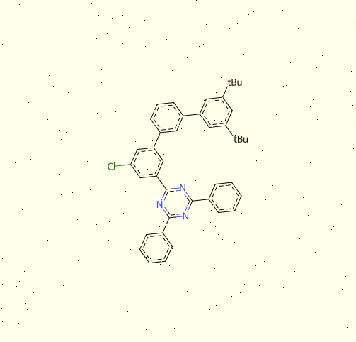 CC(C)(C)c1cc(-c2cccc(-c3cc(Cl)cc(-c4nc(-c5ccccc5)nc(-c5ccccc5)n4)c3)c2)cc(C(C)(C)C)c1